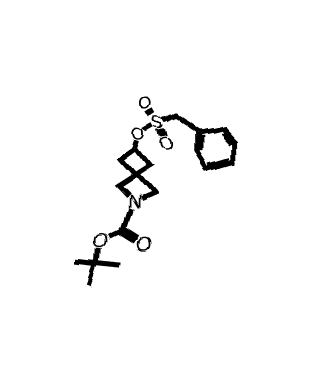 CC(C)(C)OC(=O)N1CC2(CC(OS(=O)(=O)Cc3ccccc3)C2)C1